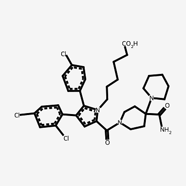 NC(=O)C1(N2CCCCC2)CCN(C(=O)c2cc(-c3ccc(Cl)cc3Cl)c(-c3ccc(Cl)cc3)n2CCCCCC(=O)O)CC1